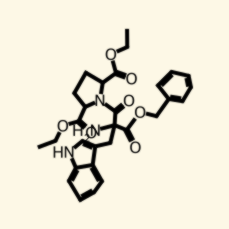 CCOC(=O)C1CCC(C(=O)OCC)N1C(=O)C(N)(Cc1c[nH]c2ccccc12)C(=O)OCc1ccccc1